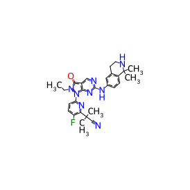 CCn1c(=O)c2cnc(Nc3ccc4c(c3)CCNC4(C)C)nc2n1-c1ccc(F)c(C(C)(C)C#N)n1